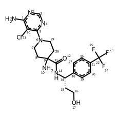 Nc1ncnc(N2CCC(N)(C(=O)N[C@@H](CCO)c3ccc(C(F)(F)F)cc3)CC2)c1Cl